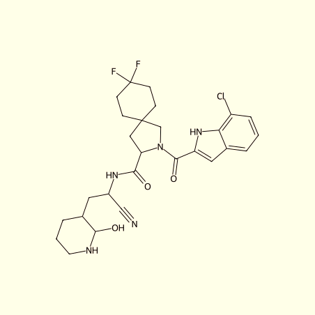 N#CC(CC1CCCNC1O)NC(=O)C1CC2(CCC(F)(F)CC2)CN1C(=O)c1cc2cccc(Cl)c2[nH]1